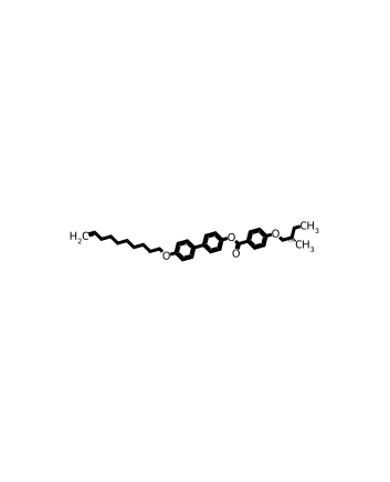 C=CCCCCCCCCOc1ccc(-c2ccc(OC(=O)c3ccc(OC[C@@H](C)CC)cc3)cc2)cc1